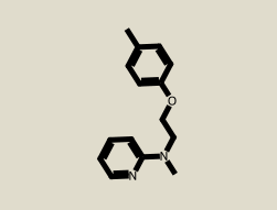 Cc1ccc(OCCN(C)c2ccccn2)cc1